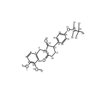 COc1ccc(CN2C(=O)CCC(c3ccc(O[Si](C)(C)C(C)(C)C)cc3)C2=O)cc1OC